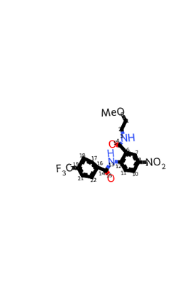 COCCNC(=O)c1cc([N+](=O)[O-])ccc1NC(=O)c1ccc(C(F)(F)F)cc1